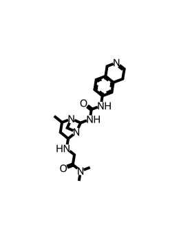 CC1CC(NCC(=O)N(C)C)N2CN1C2NC(=O)Nc1ccc2c(c1)CC=NC2